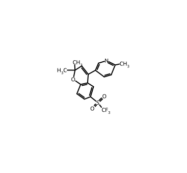 Cc1ccc(C2=CC(C)(C)Oc3ccc(S(=O)(=O)C(F)(F)F)cc32)cn1